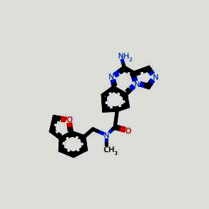 CN(Cc1cccc2ccoc12)C(=O)c1ccc2nc(N)c3cncn3c2c1